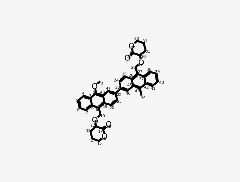 COc1c2ccccc2c(COC2CCCOC2=O)c2ccc(-c3ccc4c(COC5CCCOC5=O)c5ccccc5c(C)c4c3)cc12